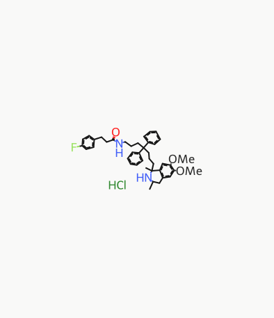 COc1cc2c(cc1OC)C(C)(CCCC(CCCNC(=O)CCc1ccc(F)cc1)(c1ccccc1)c1ccccc1)NC(C)C2.Cl